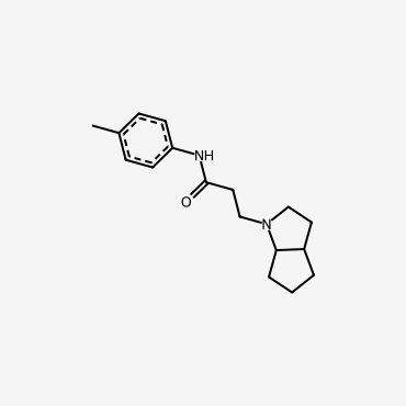 Cc1ccc(NC(=O)CCN2CCC3CCCC32)cc1